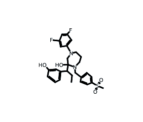 CCC(c1cccc(O)c1)C1(O)CN(c2cc(F)cc(F)c2)CCCN1Cc1ccc(S(C)(=O)=O)cc1